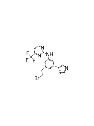 FC(F)(F)c1ccnc(Nc2cc(CCBr)cc(-c3cncs3)c2)n1